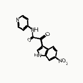 O=C(Nc1ccncc1)C(=O)c1c[nH]c2cc([N+](=O)[O-])ccc12